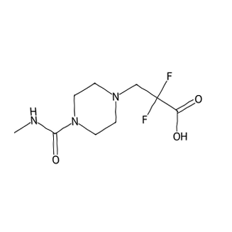 CNC(=O)N1CCN(CC(F)(F)C(=O)O)CC1